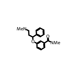 CNCCC(Oc1cccc(C(=O)NC)c1)c1ccccc1